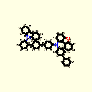 c1ccc(-c2ccc(N(c3ccc(-c4ccc(-c5ccccc5-n5c6ccccc6c6ccccc65)cc4)cc3)c3cccc4oc5ccccc5c34)cc2)cc1